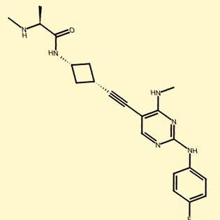 CNc1nc(Nc2ccc(F)cc2)ncc1C#C[C@H]1C[C@@H](NC(=O)[C@H](C)NC)C1